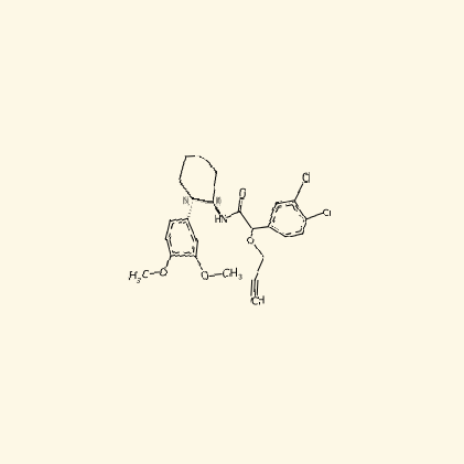 C#CCOC(C(=O)N[C@@H]1CCCC[C@H]1c1ccc(OC)c(OC)c1)c1ccc(Cl)c(Cl)c1